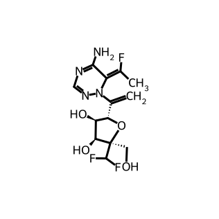 C=C([C@@H]1O[C@@](CO)(C(F)F)[C@@H](O)[C@H]1O)N1N=CN=C(N)/C1=C(/C)F